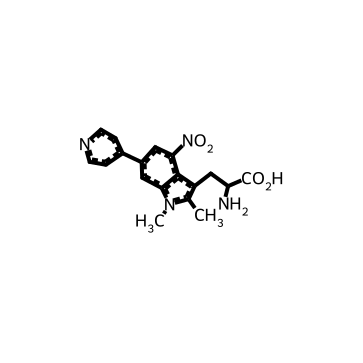 Cc1c(CC(N)C(=O)O)c2c([N+](=O)[O-])cc(-c3ccncc3)cc2n1C